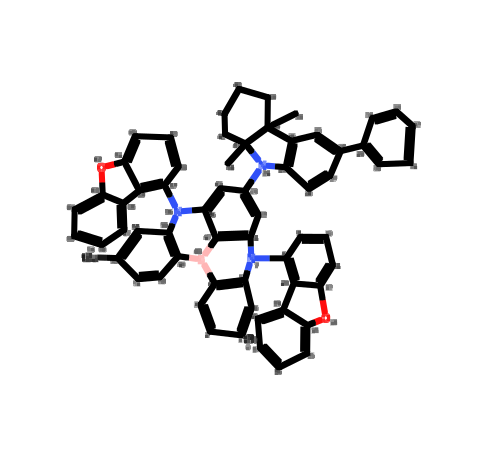 CC(C)(C)c1ccc2c(c1)N(c1cccc3oc4ccccc4c13)c1cc(N3c4ccc(-c5ccccc5)cc4C4(C)CCCCC34C)cc3c1B2c1ccc(C(C)(C)C)cc1N3c1cccc2oc3ccccc3c12